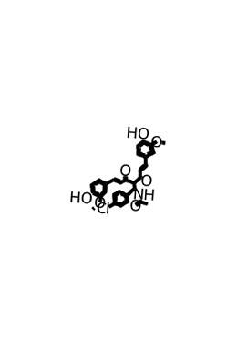 COc1cc(C=CC(=O)C(C(=O)C=Cc2ccc(O)c(OC)c2)C(NC(C)=O)c2ccc(Cl)cc2)ccc1O